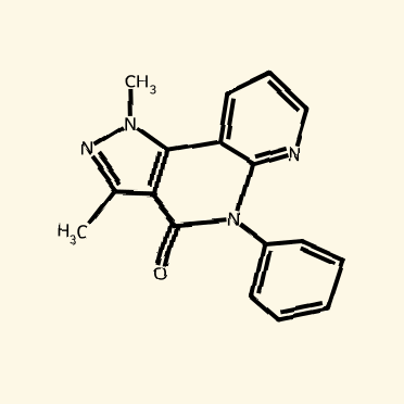 Cc1nn(C)c2c1c(=O)n(-c1ccccc1)c1ncccc21